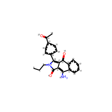 CCCN1C(=O)C2=C(N)c3ccccc3C(=O)C2=C1c1ccc(C(C)=O)cc1